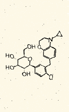 OC[C@H]1O[C@@H](c2ccc(Cl)c(Cc3ccc4c(c3)OCCN4C3CC3)c2)[C@H](O)[C@@H](O)[C@@H]1O